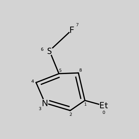 CCc1cncc(SF)c1